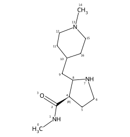 CNC(=O)[C@@H]1CCNC1CC1CCN(C)CC1